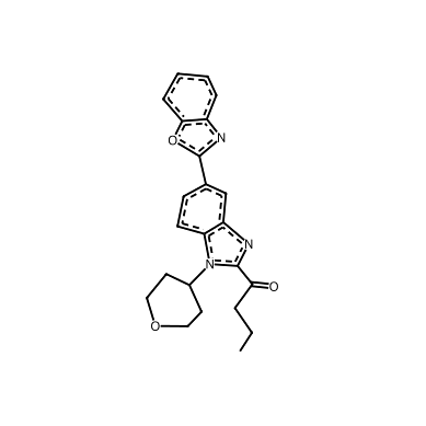 CCCC(=O)c1nc2cc(-c3nc4ccccc4o3)ccc2n1C1CCOCC1